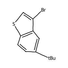 CC(C)(C)c1ccc2scc(Br)c2c1